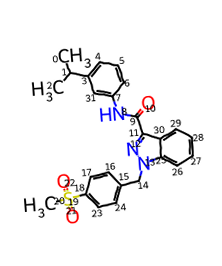 CC(C)c1cccc(NC(=O)c2nn(Cc3ccc(S(C)(=O)=O)cc3)c3ccccc23)c1